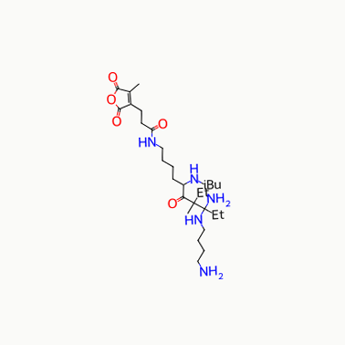 CCC(C)NC(CCCCNC(=O)CCC1=C(C)C(=O)OC1=O)C(=O)C(C)(CC)C(N)(CC)NCCCCN